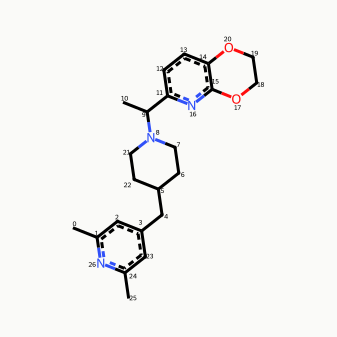 Cc1cc(CC2CCN(C(C)c3ccc4c(n3)OCCO4)CC2)cc(C)n1